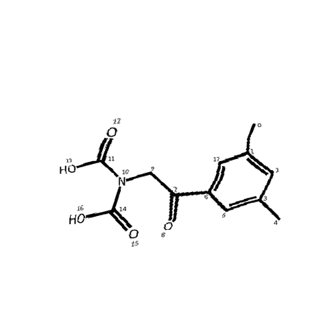 Cc1cc(C)cc(C(=O)CN(C(=O)O)C(=O)O)c1